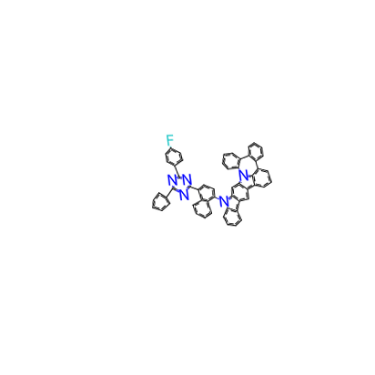 Fc1ccc(-c2nc(-c3ccccc3)nc(-c3ccc(-n4c5ccccc5c5cc6c7cccc8c7n(c6cc54)-c4ccccc4-c4ccccc4-8)c4ccccc34)n2)cc1